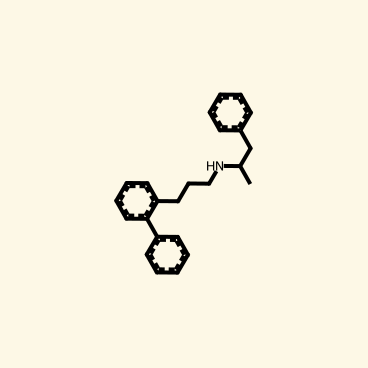 CC(Cc1ccccc1)NCCCc1ccccc1-c1ccccc1